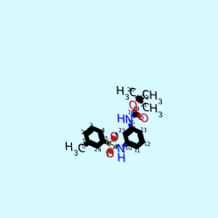 Cc1cccc(S(=O)(=O)Nc2cccc(NC(=O)OC(C)(C)C)c2)c1